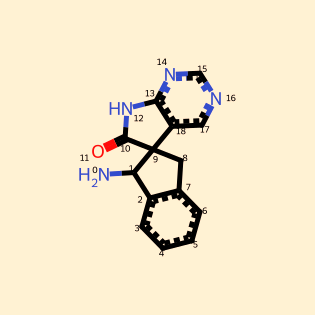 NC1c2ccccc2CC12C(=O)Nc1ncncc12